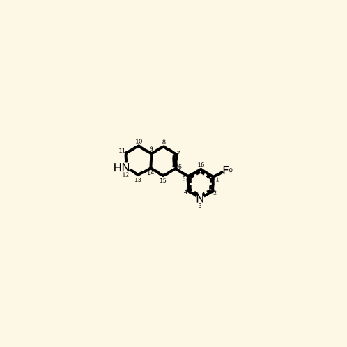 Fc1cncc(C2=CCC3CCNCC3C2)c1